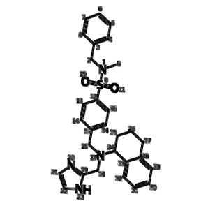 CN(Cc1ccccc1)S(=O)(=O)c1ccc(CN(Cc2ncc[nH]2)C2CCCc3ccccc32)cc1